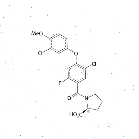 COc1ccc(Oc2cc(F)c(C(=O)N3CCC[C@H]3C(=O)O)cc2Cl)cc1Cl